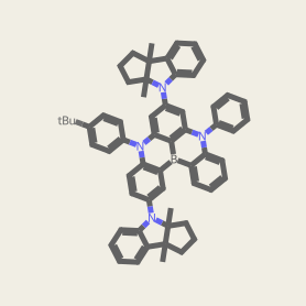 CC(C)(C)c1ccc(N2c3ccc(N4c5ccccc5C5(C)CCCC45C)cc3B3c4ccccc4N(c4ccccc4)c4cc(N5c6ccccc6C6(C)CCCC56C)cc2c43)cc1